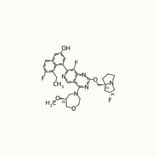 CCc1c(F)ccc2cc(O)cc(-c3ncc4c(N5CCOC[C@@H](OC)C5)nc(OC[C@@]56CCCN5C[C@H](F)C6)nc4c3F)c12